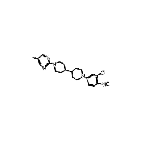 [C-]#[N+]c1ccc(N2CCC(C3CCN(c4ncc(C)cn4)CC3)CC2)cc1Cl